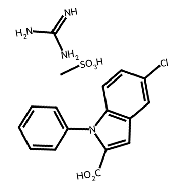 CS(=O)(=O)O.N=C(N)N.O=C(O)c1cc2cc(Cl)ccc2n1-c1ccccc1